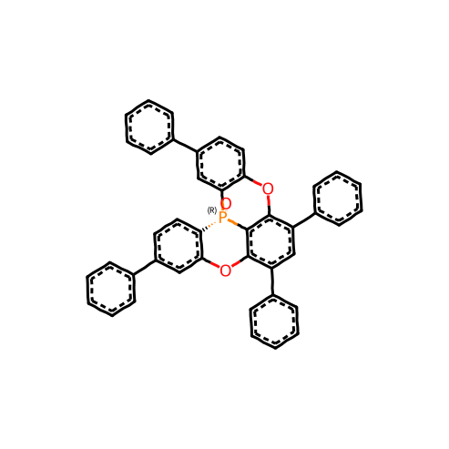 O=[P@@]12c3ccc(-c4ccccc4)cc3Oc3c(-c4ccccc4)cc(-c4ccccc4)c(c31)Oc1ccc(-c3ccccc3)cc12